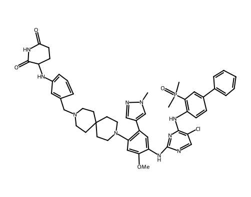 COc1cc(N2CCC3(CCN(Cc4cccc(NC5CCC(=O)NC5=O)c4)CC3)CC2)c(-c2cnn(C)c2)cc1Nc1ncc(Cl)c(Nc2ccc(-c3ccccc3)cc2P(C)(C)=O)n1